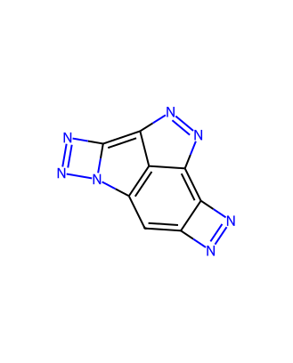 c1c2nnc2c2c3c(c4nnn4c13)N=N2